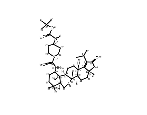 CC(C)C1=C2[C@H]3CC[C@@H]4[C@@]5(C)C(NC(=O)N6CCC(N(C)C(=O)OC(C)(C)C)CC6)CCC(C)(C)[C@@H]5CC[C@@]4(C)[C@]3(C)CC[C@@]2(C)CC1=O